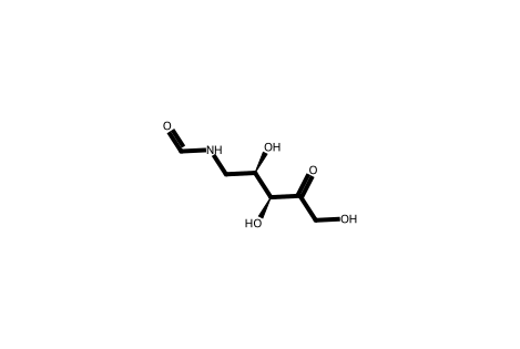 O=CNC[C@@H](O)[C@H](O)C(=O)CO